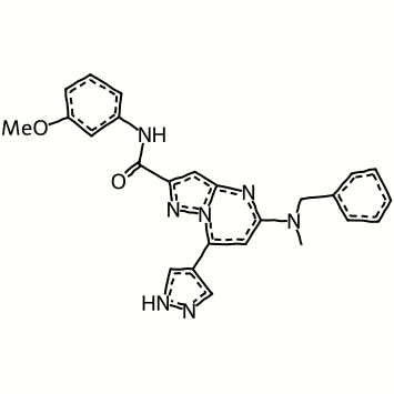 COc1cccc(NC(=O)c2cc3nc(N(C)Cc4ccccc4)cc(-c4cn[nH]c4)n3n2)c1